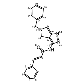 O=C(C=Cc1ccccc1)NC1=C2CN(Cc3ccccc3)C=C2N=N1